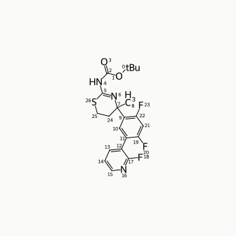 CC(C)(C)OC(=O)NC1=NC(C)(c2cc(-c3cccnc3F)c(F)cc2F)CCS1